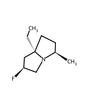 CC[C@]12CC[C@@H](C)N1C[C@@H](F)C2